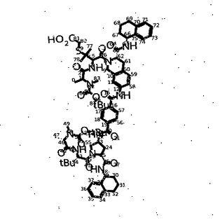 CC(C(=O)NC(C(=O)N1Cc2cc(NC(=O)c3ccc(C(=O)N[C@H]4C[C@@H](C(=O)N[C@@H]5CCCc6ccccc65)N(C(=O)[C@@H](NC(=O)[C@H](C)N(C)C(=O)OC(C)(C)C)C(C)(C)C)C4)cc3)ccc2C[C@H]1C(=O)N[C@@H]1CCCc2ccccc21)C(C)(C)SCC(=O)O)N(C)C(=O)OC(C)(C)C